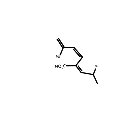 C=C(Br)/C=C\C(=C/C(C)F)C(=O)O